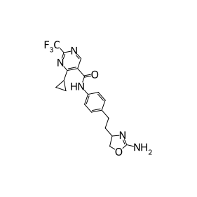 NC1=NC(CCc2ccc(NC(=O)c3cnc(C(F)(F)F)nc3C3CC3)cc2)CO1